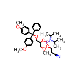 COCC(COC(c1ccccc1)(c1ccc(OC)cc1)c1ccc(OC)cc1)OP(OCCC#N)N(C(C)C)C(C)C